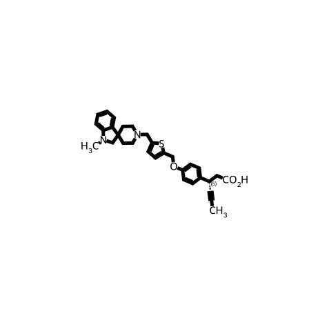 CC#C[C@@H](CC(=O)O)c1ccc(OCc2ccc(CN3CCC4(CC3)CN(C)c3ccccc34)s2)cc1